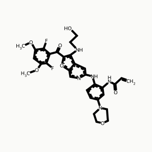 C=CC(=O)Nc1cc(N2CCOCC2)ccc1Nc1cc2c(NCCO)c(C(=O)c3c(F)c(OC)cc(OC)c3F)oc2cn1